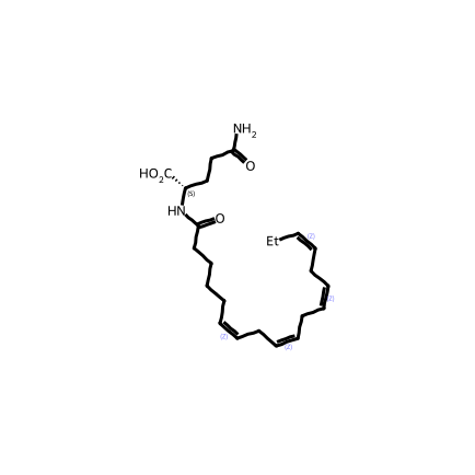 CC/C=C\C/C=C\C/C=C\C/C=C\CCCCC(=O)N[C@@H](CCC(N)=O)C(=O)O